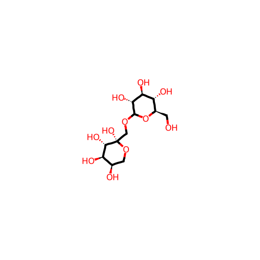 OC[C@H]1OC(OC[C@@]2(O)OC[C@@H](O)[C@@H](O)[C@@H]2O)[C@H](O)[C@@H](O)[C@@H]1O